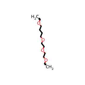 C=COCCCCOCCOCCOC=C